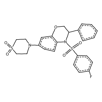 O=S1(=O)CCN(c2ccc3c(c2)OCC(c2ccccc2)N3S(=O)(=O)c2ccc(F)cc2)CC1